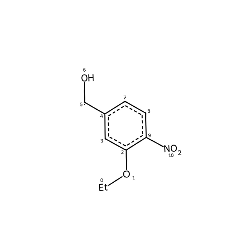 CCOc1cc([CH]O)ccc1[N+](=O)[O-]